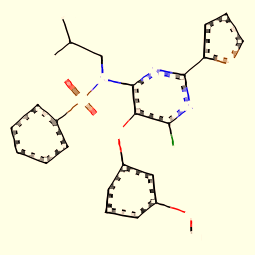 COc1cccc(Oc2c(Cl)nc(-c3cccs3)nc2N(CC(C)C)S(=O)(=O)c2ccccc2)c1